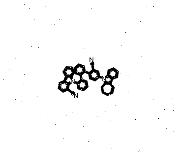 N#Cc1cc(-n2c3c(c4ccccc42)C=CCCC3)ccc1-c1ccccc1-c1ccccc1-n1c2ccccc2c2cccc(C#N)c21